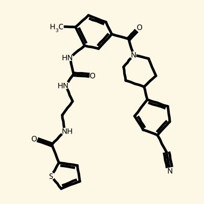 Cc1ccc(C(=O)N2CCC(c3ccc(C#N)cc3)CC2)cc1NC(=O)NCCNC(=O)c1cccs1